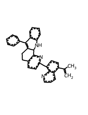 C=C(C)c1ccc(-c2ccc3c(n2)C2Nc4ccccc4C(c4ccccc4)=C2CC3)c2ncccc12